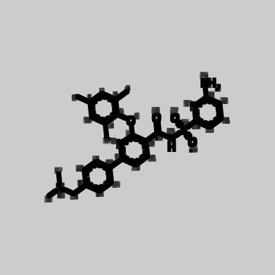 Cc1cc(C)c(Oc2nc(-c3ccc(CN(C)C)cc3)ccc2C(=O)NS(=O)(=O)c2cccc(N)n2)c(C)c1